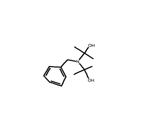 CC(C)(O)N(Cc1ccccc1)C(C)(C)O